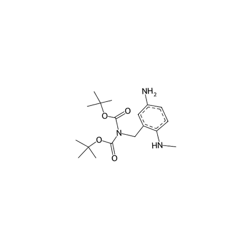 CNc1ccc(N)cc1CN(C(=O)OC(C)(C)C)C(=O)OC(C)(C)C